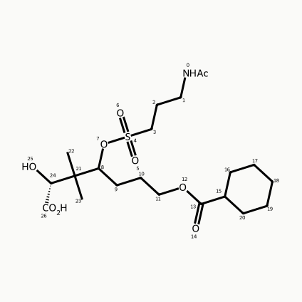 CC(=O)NCCCS(=O)(=O)OC(CCCOC(=O)C1CCCCC1)C(C)(C)[C@@H](O)C(=O)O